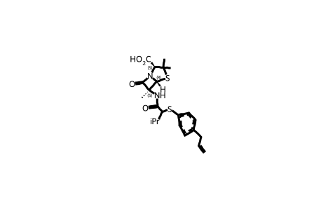 C=CCc1ccc(SC(C(=O)N[C@@]2(C)C(=O)N3[C@@H](C(=O)O)C(C)(C)S[C@@H]32)C(C)C)cc1